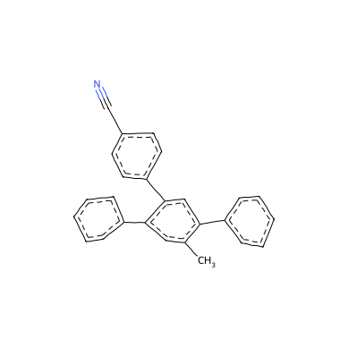 Cc1cc(-c2ccccc2)c(-c2ccc(C#N)cc2)cc1-c1ccccc1